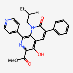 CCC(CC)Cn1c(=O)c(-c2ccccc2)cc2c(O)c(C(=O)OC)nc(-c3ccncc3)c21